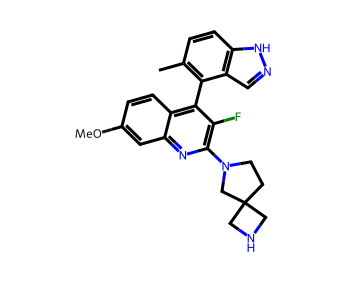 COc1ccc2c(-c3c(C)ccc4[nH]ncc34)c(F)c(N3CCC4(CNC4)C3)nc2c1